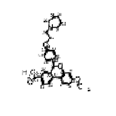 COc1ccc2c(c1)OC(c1ccc(OCCN3CCCCC3)cc1)c1cc(C(C)=O)ccc1-2